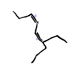 CC/C=N\C=C(/CC)CCC